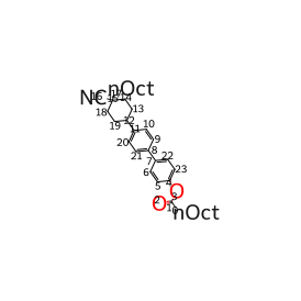 CCCCCCCCC(=O)Oc1ccc(-c2ccc(C3CCC(C#N)(CCCCCCCC)CC3)cc2)cc1